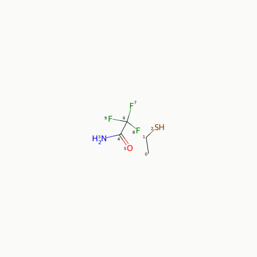 CCS.NC(=O)C(F)(F)F